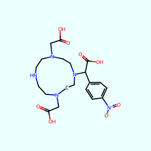 O=C(O)CN1CCNCCN(CC(=O)O)CCN(C(C(=O)O)c2ccc([N+](=O)[O-])cc2)CC1